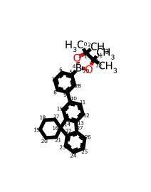 CC1(C)OB(c2cccc(-c3ccc4c(c3)C3(CCCCC3)c3ccccc3-4)c2)OC1(C)C